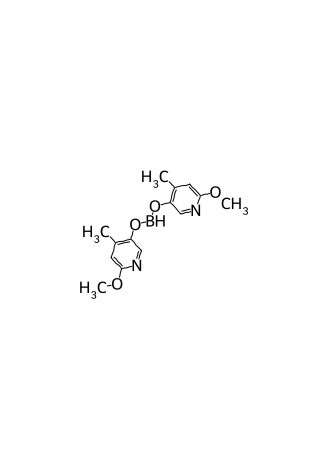 COc1cc(C)c(OBOc2cnc(OC)cc2C)cn1